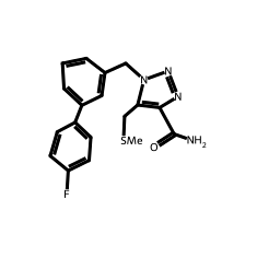 CSCc1c(C(N)=O)nnn1Cc1cccc(-c2ccc(F)cc2)c1